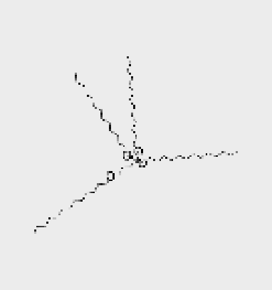 CCCCCCCCCCCCCOCCC[Si](OCCCCCCCCCCCCC)(OCCCCCCCCCCCCC)OCCCCCCCCCCCCC